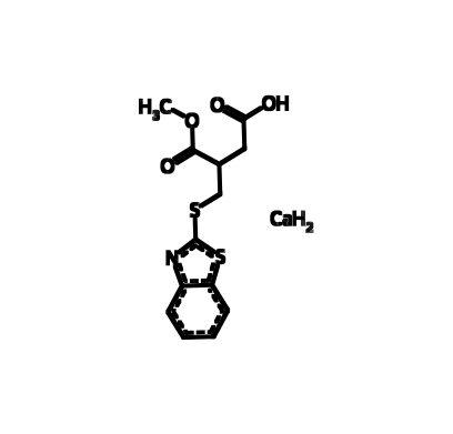 COC(=O)C(CSc1nc2ccccc2s1)CC(=O)O.[CaH2]